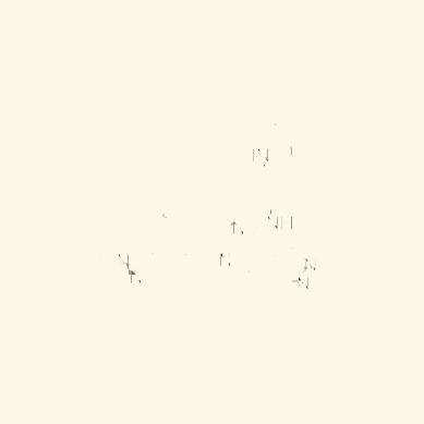 CC(=O)N[C@H]1C[C@@H](Nc2nc(-c3cccc(-c4cnn(C)c4)c3)ncc2-c2cnn(C)c2)C1